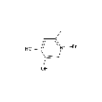 CC[n+]1cc(O)c(O)cc1C